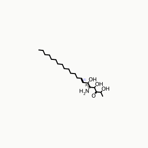 CCCCCCCCCCCCC/C=C/[C@@H](O)[C@@H](N)C(O)C(=O)C(C)O